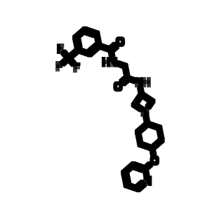 O=C(CNC(=O)c1cccc(C(F)(F)F)c1)NC1CN(C2CCC(Oc3ccccn3)CC2)C1